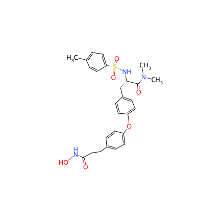 Cc1ccc(S(=O)(=O)N[C@@H](Cc2ccc(Oc3ccc(CCC(=O)NO)cc3)cc2)C(=O)N(C)C)cc1